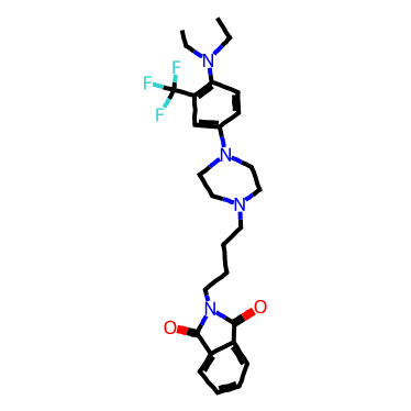 CCN(CC)c1ccc(N2CCN(CCCCN3C(=O)c4ccccc4C3=O)CC2)cc1C(F)(F)F